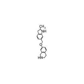 CC1Cc2ccc(COc3ccc4c(c3)CNCC4)cc2N1